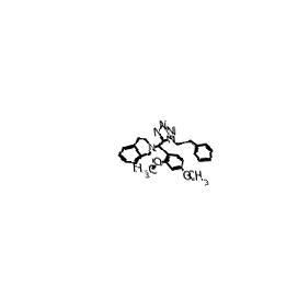 COc1ccc(C(c2nnnn2CCc2ccccc2)N2CCc3ccccc3C2)c(OC)c1